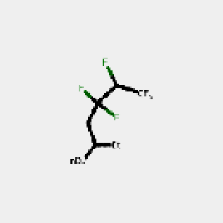 CCCCC(CC)CC(F)(F)[C](F)C(F)(F)F